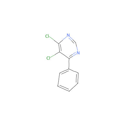 Clc1ncnc(-c2ccccc2)c1Cl